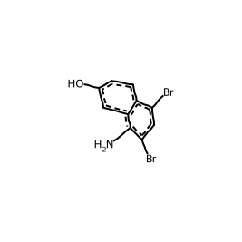 Nc1c(Br)cc(Br)c2ccc(O)cc12